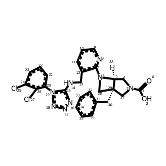 O=C(O)N1C[C@@H]2N(c3ncccc3CNc3nnnn3-c3cccc(Cl)c3Cl)C[C@]2(Cc2ccccc2)C1